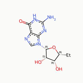 CC[C@H]1O[C@@H](n2cnc3c(=O)[nH]c(N)nc32)[C@@H](O)[C@H]1O